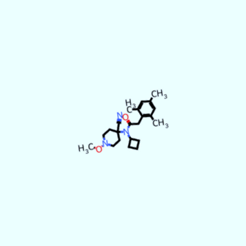 CON1CCC(C#N)(N(C(=O)Cc2c(C)cc(C)cc2C)C2CCC2)CC1